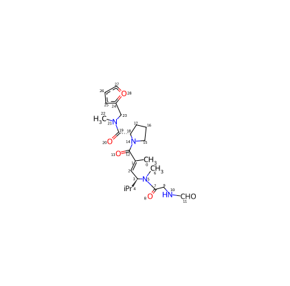 C/C(=C\[C@H](C(C)C)N(C)C(=O)CNC=O)C(=O)N1CCC[C@H]1C(=O)N(C)Cc1ccco1